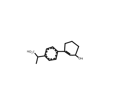 CC(C(=O)O)c1ccc(C2=CC(O)CCC2)cc1